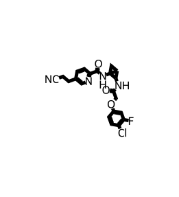 N#CCCc1ccc(C(=O)NC23CC2C3NC(=O)COc2ccc(Cl)c(F)c2)nc1